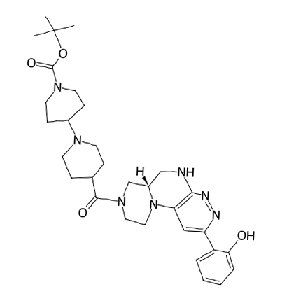 CC(C)(C)OC(=O)N1CCC(N2CCC(C(=O)N3CCN4c5cc(-c6ccccc6O)nnc5NC[C@H]4C3)CC2)CC1